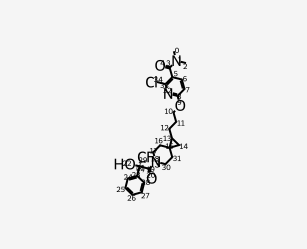 CN(C)C(=O)c1ccc(OCCCC2CC23CCN(C(=O)[C@](O)(c2ccccc2)C(F)(F)F)CC3)nc1Cl